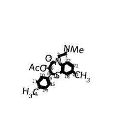 CNCCN1C(=O)[C@H](OC(C)=O)[C@H](c2ccc(C)cc2)Sc2cc(C)ccc21